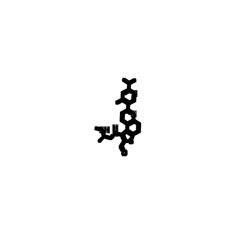 CN[C@H](C)CNc1c(C=O)sc2ccc3nc(-c4cnc(C(C)C)cc4C)ccc3c12